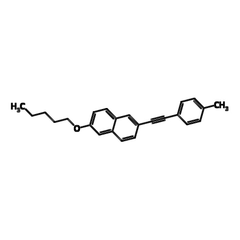 CCCCCOc1ccc2cc(C#Cc3ccc(C)cc3)ccc2c1